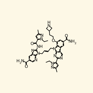 CCn1nc(C)cc1C(=O)Nc1nc2cc(C(N)=O)cnc2n1CC=CCn1c2nc(-c3cc(C)nn3CC)ncc2c2cc(C(N)=O)cc(OCCC3CNC3)c21